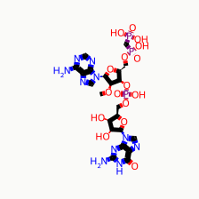 CO[C@@H]1[C@H](OP(=O)(O)OC[C@H]2O[C@@H](n3cnc4c(=O)[nH]c(N)nc43)[C@H](O)[C@@H]2O)[C@@H](COP(=O)(O)CP(=O)(O)O)O[C@H]1n1cnc2c(N)ncnc21